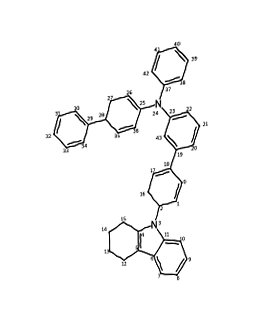 C1=CC(n2c3c(c4ccccc42)CCCC3)CC=C1c1cccc(N(C2=CCC(c3ccccc3)C=C2)c2ccccc2)c1